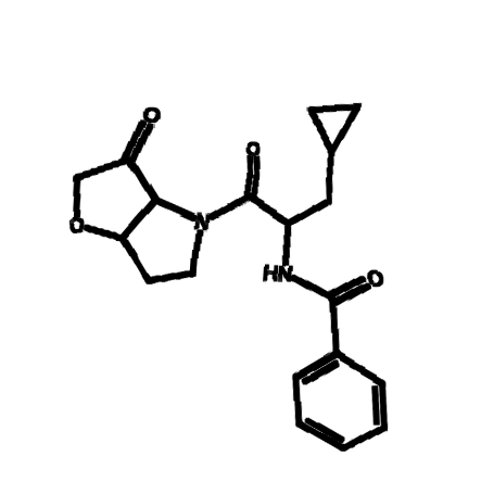 O=C(NC(CC1CC1)C(=O)N1CCC2OCC(=O)C21)c1ccccc1